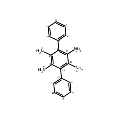 Nc1c(N)c(-c2ccccc2)c(N)c(N)c1-c1ccccc1